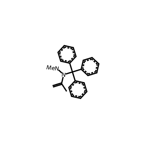 C=C(C)N(NC)C(c1ccccc1)(c1ccccc1)c1ccccc1